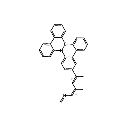 C=N/C=C(C)\C=C(/C)c1ccc2c(c1)-c1ccccc1B1c3ccccc3-c3ccccc3N12